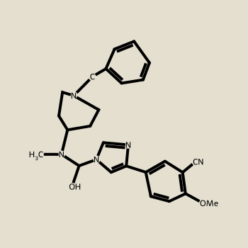 COc1ccc(-c2cn(C(O)N(C)C3CCN(Cc4ccccc4)CC3)cn2)cc1C#N